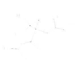 CC(=CC1(C(=O)OC(C)C)CC1(C)C)CO